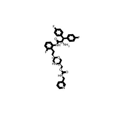 N[C@H](C(=O)Nc1cccc(F)c1CC[C@@H]1CN[C@H](COC(=O)NCc2cccnc2)CO1)C(c1ccc(F)cc1)c1ccc(F)cc1